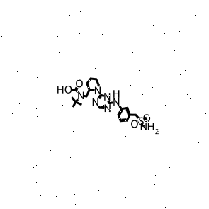 CC(C)(C)N(CC1CCCCN1c1ncnc(Nc2cccc(CS(N)(=O)=O)c2)n1)C(=O)O